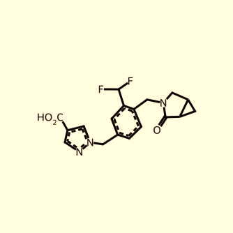 O=C(O)c1cnn(Cc2ccc(CN3CC4CC4C3=O)c(C(F)F)c2)c1